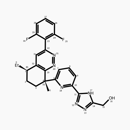 CC[C@@H]1CC[C@@](C)(c2cccc(-c3nnc(CO)[nH]3)n2)c2nnc(-c3c(F)cccc3F)cc21